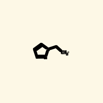 [CH2]Cn1cccn1